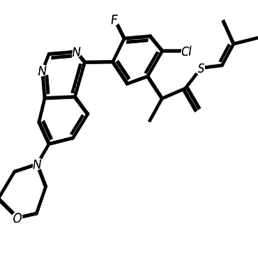 C=C(SC=C(C)C)C(C)c1cc(-c2ncnc3cc(N4CCOCC4)ccc23)c(F)cc1Cl